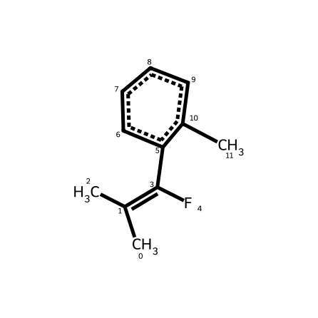 CC(C)=C(F)c1ccccc1C